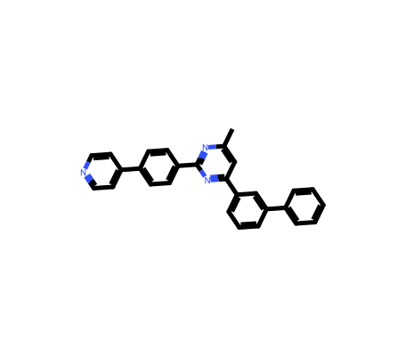 Cc1cc(-c2cccc(-c3ccccc3)c2)nc(-c2ccc(-c3ccncc3)cc2)n1